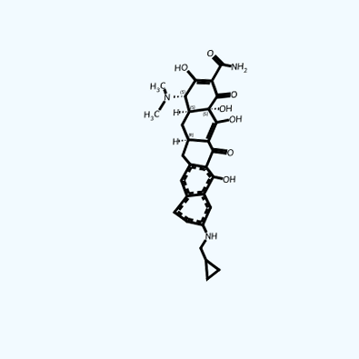 CN(C)[C@@H]1C(O)=C(C(N)=O)C(=O)[C@@]2(O)C(O)=C3C(=O)c4c(cc5ccc(NCC6CC6)cc5c4O)C[C@H]3C[C@@H]12